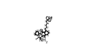 CC[C@H](N)c1nc2cccc(CCCCCC(O)OC)c2c(=O)n1-c1ccccc1